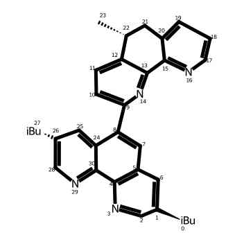 CC[C@H](C)c1cnc2c(c1)cc(-c1ccc3c(n1)-c1ncccc1C[C@H]3C)c1cc([C@@H](C)CC)cnc12